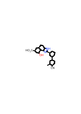 Cc1cc(-c2cccc(-c3nc4c(ccc5cc(C(=O)O)cc(O)c54)[nH]3)c2)ccc1C#N